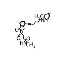 CNC(=O)CCC(C=O)N1Cc2c(C#CCCCCNC3(C)CC=C4CC4C3)cccc2C1=O